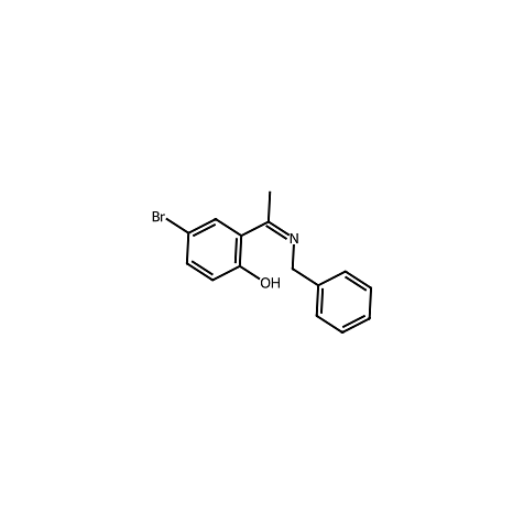 CC(=NCc1ccccc1)c1cc(Br)ccc1O